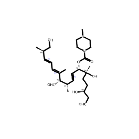 C/C(=C\C=C\[C@@H](C)CO)[C@@H](C=O)[C@@H](C)/C=C/[C@H](OC(=O)N1CCN(C)CC1)[C@@](C)(O)CC[C@H](O)CC=O